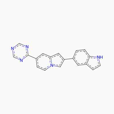 c1ncnc(-c2ccn3cc(-c4ccc5[nH]ccc5c4)cc3c2)n1